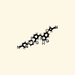 N#Cc1ccc(N2CCN(C(=O)c3cc(Cc4n[nH]c(=O)c5ccc(OC6CC(C#N)C6)cc45)ccc3F)CC2)nc1